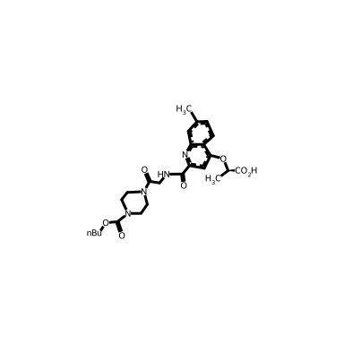 CCCCOC(=O)N1CCN(C(=O)CNC(=O)c2cc(O[C@H](C)C(=O)O)c3ccc(C)cc3n2)CC1